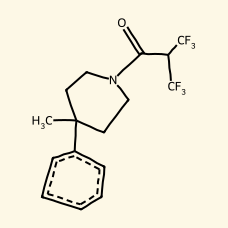 CC1(c2ccccc2)CCN(C(=O)C(C(F)(F)F)C(F)(F)F)CC1